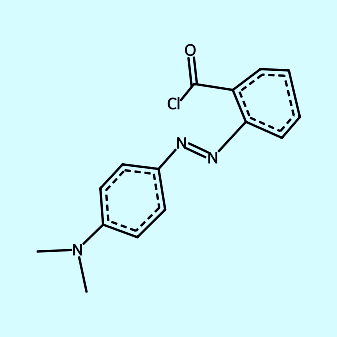 CN(C)c1ccc(N=Nc2ccccc2C(=O)Cl)cc1